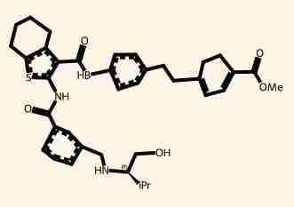 COC(=O)C1=CC=C(CCc2ccc(BC(=O)c3c(NC(=O)c4cccc(CN[C@@H](CO)C(C)C)c4)sc4c3CCCC4)cc2)CC1